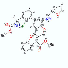 C[C@@H](NC(=O)OC(C)(C)C)c1cccc(-c2cc(NCC3CCCO3)c3c(c2)C(Oc2ccccc2CC(=O)OC(C)(C)C)CCO3)c1F